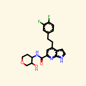 O=C(NC1CCOCC1O)c1cc(CCc2ccc(F)c(F)c2)c2cc[nH]c2n1